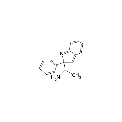 CC(N)C1(c2ccccc2)C=c2ccccc2=N1